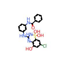 O=C(Nc1cccc(NC2=Nc3c(O)cc(Cl)cc3S(O)(O)N2)c1)c1ccccc1